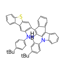 CC(C)(C)c1ccc(Nc2cc3c(cc2-c2c4c5c(c6ccccc26)c2ccccc2n5-c2ccc(C(C)(C)C)cc2B4)sc2ccccc23)cc1